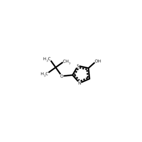 CC(C)(C)Oc1ncc(O)s1